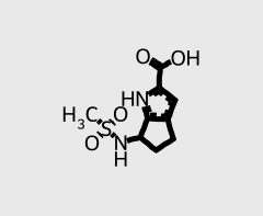 CS(=O)(=O)NC1CCc2cc(C(=O)O)[nH]c21